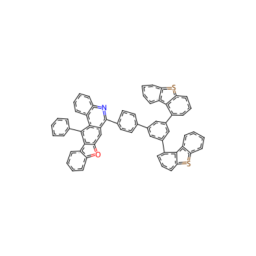 c1ccc(-c2c3c(cc4c(-c5ccc(-c6cc(-c7cccc8sc9ccccc9c78)cc(-c7cccc8sc9ccccc9c78)c6)cc5)nc5ccccc5c24)oc2ccccc23)cc1